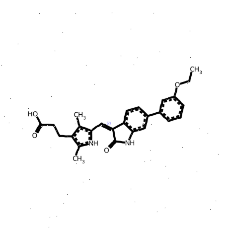 CCOc1cccc(-c2ccc3c(c2)NC(=O)/C3=C\c2[nH]c(C)c(CCC(=O)O)c2C)c1